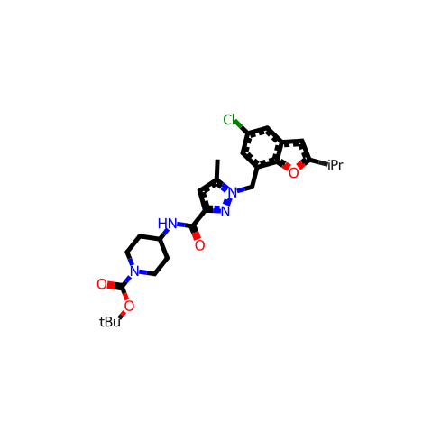 Cc1cc(C(=O)NC2CCN(C(=O)OC(C)(C)C)CC2)nn1Cc1cc(Cl)cc2cc(C(C)C)oc12